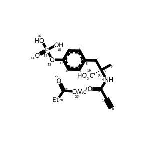 C#CC(=O)N[C@](C)(Cc1ccc(OP(=O)(O)O)cc1)C(=O)O.CCC(=O)OC